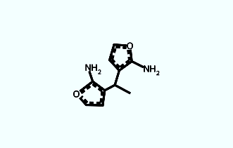 CC(c1ccoc1N)c1ccoc1N